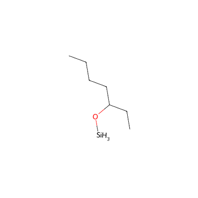 CCCCC(CC)O[SiH3]